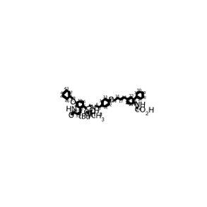 CC(C)(C)[Si](C)(C)O[C@H](CNCCc1ccc(OCC/C=C/c2ccc(NC(=O)O)c(-c3ccccc3)c2)cc1)c1ccc(OCc2ccccc2)c2[nH]c(=O)ccc12